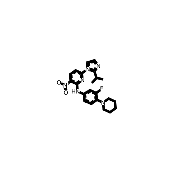 CC(C)c1nccn1-c1ccc([N+](=O)[O-])c(Nc2ccc(N3CCCCC3)c(F)c2)n1